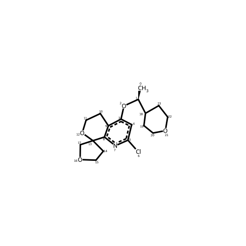 C[C@H](Oc1cc(Cl)nc2c1CCOC21CCOC1)C1CCOCC1